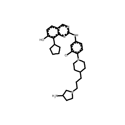 NC1CCN(CCCC2CCN(c3ccc(Nc4ncc5ccc(O)c(C6CCCC6)c5n4)cc3Cl)CC2)C1